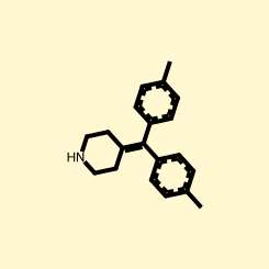 Cc1ccc(C(=C2CCNCC2)c2ccc(C)cc2)cc1